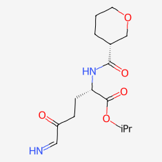 CC(C)OC(=O)[C@H](CCC(=O)C=N)NC(=O)[C@@H]1CCCOC1